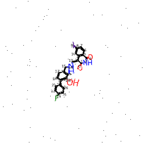 O=C1NC(=O)c2ccc(I)cc2C1=CNCc1ccc(-c2ccc(F)cc2)c(O)c1